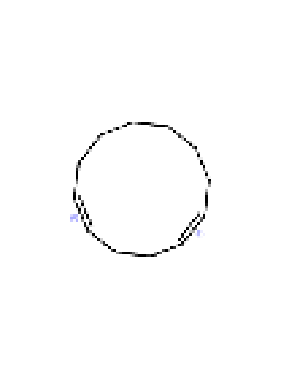 [CH]1C/C=C\CC/C=C\CCCC1